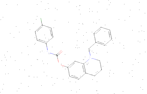 O=C(Nc1ccc(F)cc1)Oc1ccc2c(c1)N(Cc1ccccc1)CCC2